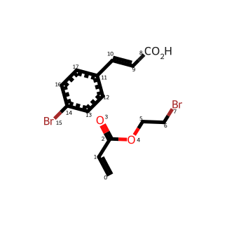 C=CC(=O)OCCBr.O=C(O)C=Cc1ccc(Br)cc1